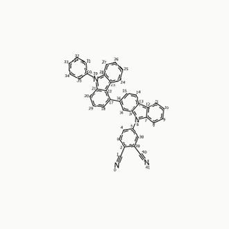 N#Cc1ccc(-n2c3ccccc3c3ccc(-c4cccc5c4c4ccccc4n5-c4ccccc4)cc32)cc1C#N